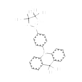 CC1(C)c2ccccc2N(c2ccc(B3OC(C)(C)C(C)(C)O3)cc2)c2ccccc21